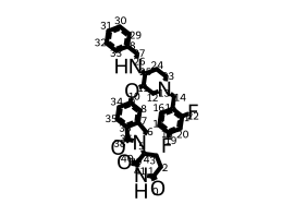 O=C1CCC(N2Cc3cc(OC4CN(Cc5ccc(F)cc5F)CCC4NCc4ccccc4)ccc3C2=O)C(=O)N1